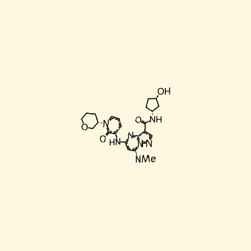 CNc1cc(Nc2cccn([C@H]3CCCOC3)c2=O)nc2c(C(=O)N[C@@H]3CC[C@@H](O)C3)cnn12